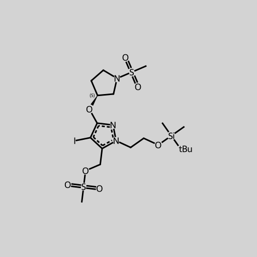 CC(C)(C)[Si](C)(C)OCCn1nc(O[C@H]2CCN(S(C)(=O)=O)C2)c(I)c1COS(C)(=O)=O